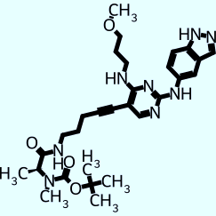 COCCCNc1nc(Nc2ccc3[nH]ncc3c2)ncc1C#CCCCNC(=O)[C@H](C)N(C)C(=O)OC(C)(C)C